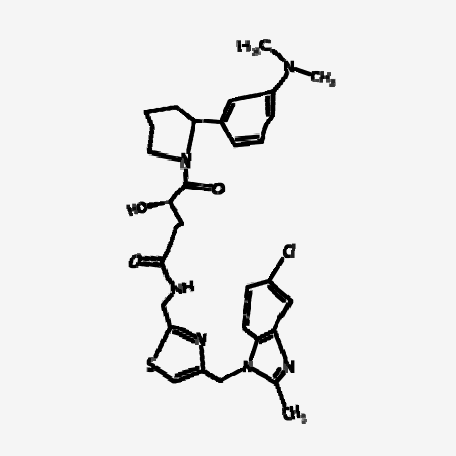 Cc1nc2cc(Cl)ccc2n1Cc1csc(CNC(=O)C[C@@H](O)C(=O)N2CCCC2c2cccc(N(C)C)c2)n1